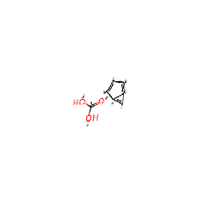 O=C(O)O.c1cc2cc-2c1